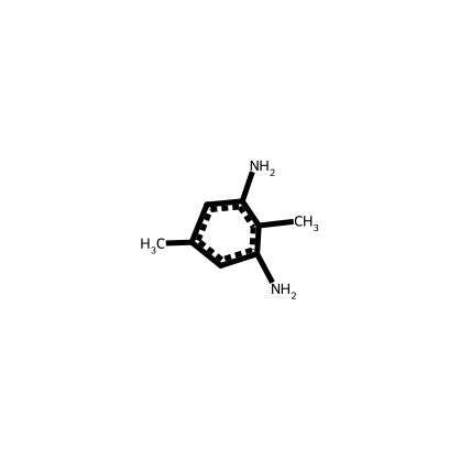 Cc1cc(N)c(C)c(N)c1